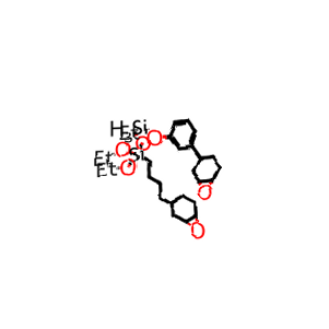 CCO[Si](CCCCC1CCC2OC2C1)(OCC)OCC.[SiH3]Oc1cccc(C2CCC3OC3C2)c1